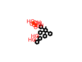 Cc1cc(-c2ccccc2)c(-c2ccccc2)c(-c2ccccc2)c1-c1ccccc1.O=P(O)(O)OP(=O)(O)O.Oc1ccccc1.Oc1ccccc1